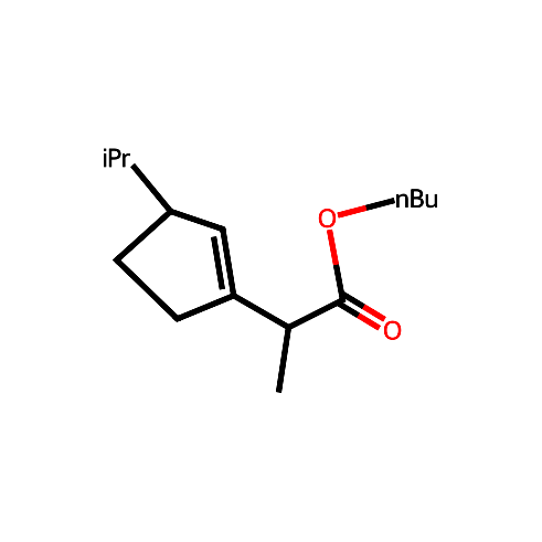 CCCCOC(=O)C(C)C1=CC(C(C)C)CC1